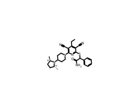 CCc1c(C#N)c(SC(C(N)=O)c2ccccc2)nc(N2CCC(N3[C@H](C)CC[C@H]3C)CC2)c1C#N